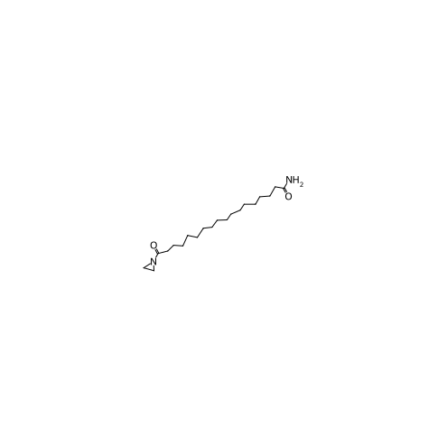 NC(=O)CCCCCCCCCCCCCCCCC(=O)N1CC1